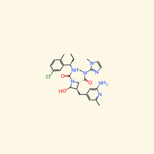 CC[C@@H](NC(=O)N1C(O)[C@H](Cc2cc(C)nc(N)c2)[C@H]1C(=O)N(C)c1nccn1C)c1cc(Cl)ccc1C